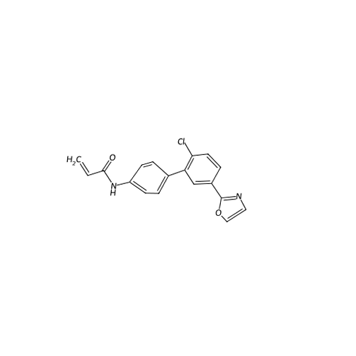 C=CC(=O)Nc1ccc(-c2cc(-c3ncco3)ccc2Cl)cc1